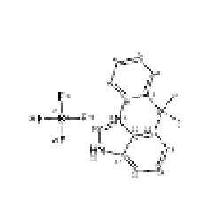 CC1(C)c2ccccc2-[n+]2c[nH]c3cccc1c32.F[B-](F)(F)F